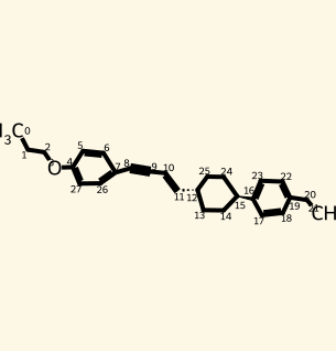 CCCOc1ccc(C#C/C=C/[C@H]2CC[C@H](c3ccc(CC)cc3)CC2)cc1